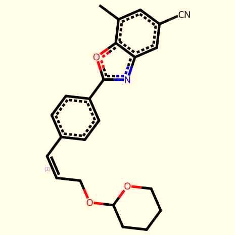 Cc1cc(C#N)cc2nc(-c3ccc(/C=C\COC4CCCCO4)cc3)oc12